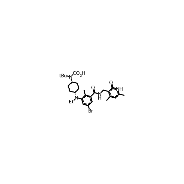 CCN(c1cc(Br)cc(C(=O)NCc2c(C)cc(C)[nH]c2=O)c1C)[C@H]1CC[C@H](N(C(=O)O)C(C)(C)C)CC1